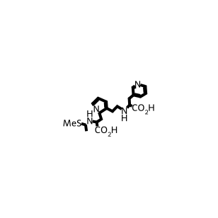 CSC(C)NC(Cc1ncccc1CCNC(Cc1cccnc1)C(=O)O)C(=O)O